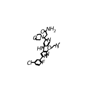 CN(C)CCOc1nnc(-c2cc(Cl)ccc2F)cc1Nc1ccnc(C(CC(N)=O)N2CCOCC2)c1